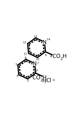 Cl.O=C(O)c1ccccn1.O=C(O)c1ccccn1